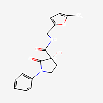 Cc1ccc(CNC(=O)[C@@]2(O)CCN(c3ccccc3)C2=O)o1